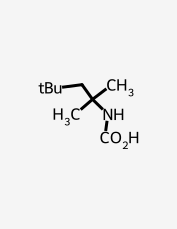 CC(C)(C)CC(C)(C)NC(=O)O